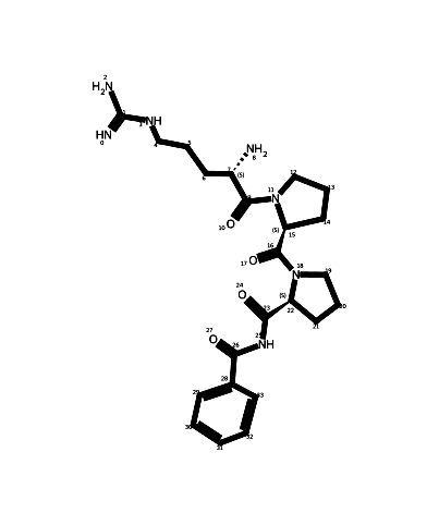 N=C(N)NCCC[C@H](N)C(=O)N1CCC[C@H]1C(=O)N1CCC[C@H]1C(=O)NC(=O)c1ccccc1